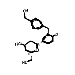 OCc1ccc(Cc2cc([C@H]3CC(O)C[C@@H](CO)O3)ccc2Cl)cc1